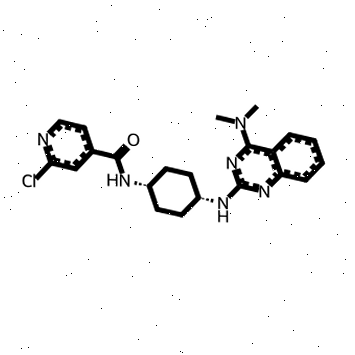 CN(C)c1nc(N[C@H]2CC[C@@H](NC(=O)c3ccnc(Cl)c3)CC2)nc2ccccc12